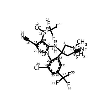 CN(C)CC1(CC#N)Nc2c([S+]([O-])C(F)(F)F)c(C#N)nn2-c2c(Cl)cc(C(F)(F)F)cc21